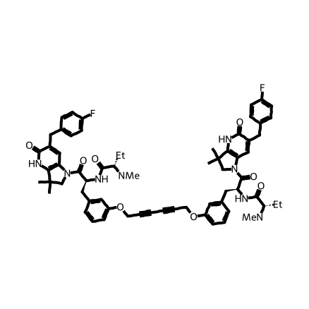 CC[C@H](NC)C(=O)N[C@@H](Cc1cccc(OCC#CC#CCOc2cccc(C[C@H](NC(=O)[C@H](CC)NC)C(=O)N3CC(C)(C)c4[nH]c(=O)c(Cc5ccc(F)cc5)cc43)c2)c1)C(=O)N1CC(C)(C)c2[nH]c(=O)c(Cc3ccc(F)cc3)cc21